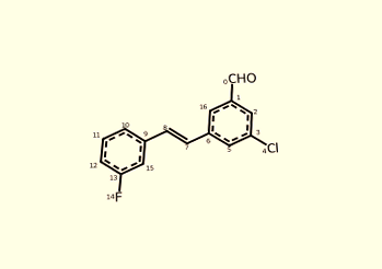 O=Cc1cc(Cl)cc(/C=C/c2cccc(F)c2)c1